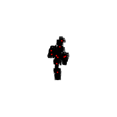 COC(=O)NC(C(=O)NC(Cc1ccc(C#Cc2ccc(N3CC4CCC(C3)O4)nc2)cc1)C(O)CN(Cc1c(F)cc(-c2cnn(C(F)F)c2)cc1F)NC(=O)C(NC(=O)O)C(C)(C)C(F)(F)F)C(C)(C)C(F)(F)F